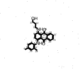 Cc1ccc(Nc2ccc(NCCCO)c3c2C(=O)c2ccccc2C3=O)c(C)c1